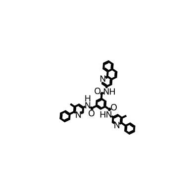 Cc1cc(NC(=O)c2cc(C(=O)Nc3cnc(-c4ccccc4)c(C)c3)cc(C(=O)Nc3cnc4c(ccc5ccccc54)c3)c2)cnc1-c1ccccc1